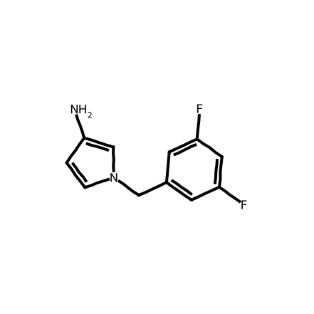 Nc1ccn(Cc2cc(F)cc(F)c2)c1